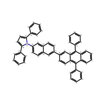 c1ccc(-c2c3ccccc3c(-c3ccccc3)c3cc(-c4ccc5cc(-n6c(-c7ccccc7)ccc6-c6ccccc6)ccc5c4)ccc23)cc1